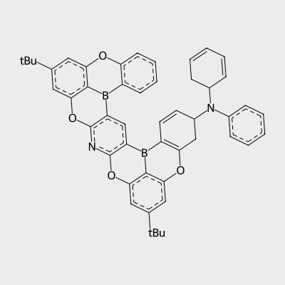 CC(C)(C)c1cc2c3c(c1)Oc1nc4c(cc1B3C1=C(CC(N(c3ccccc3)C3C=CC=CC3)C=C1)O2)B1c2ccccc2Oc2cc(C(C)(C)C)cc(c21)O4